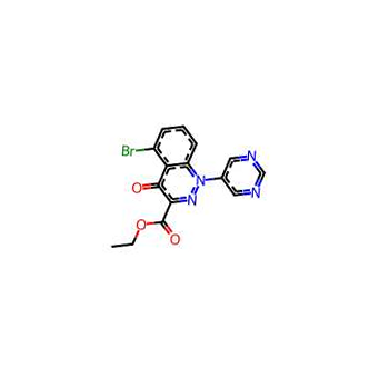 CCOC(=O)c1nn(-c2cncnc2)c2cccc(Br)c2c1=O